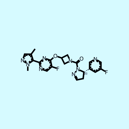 Cc1cnn(C)c1-c1ncc(F)c(OC2CN(C(=O)N3N=CC[C@H]3c3cncc(F)c3)C2)n1